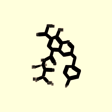 COC(=O)c1cc(C(=O)N[C@H](C(=O)N(C)C)C(C)C)c2cc(Cc3ccc(F)cc3)cnc2c1O